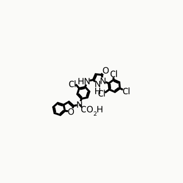 O=C(O)N(c1ccc(Nc2cc(=O)n(-c3c(Cl)cc(Cl)cc3Cl)[nH]2)c(Cl)c1)c1cc2ccccc2o1